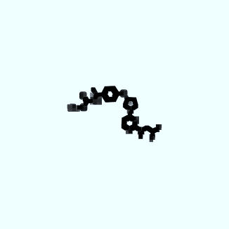 C[C@H](NC(=O)OC(C)(C)C)c1ccc(O[C@@H]2CCN(c3ccnc(N(C)CC(F)F)n3)C2)cc1